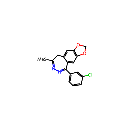 CSC1=NN=C(c2cccc(Cl)c2)c2cc3c(cc2C1)OCO3